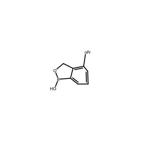 CCCc1cccc2c1COB2O